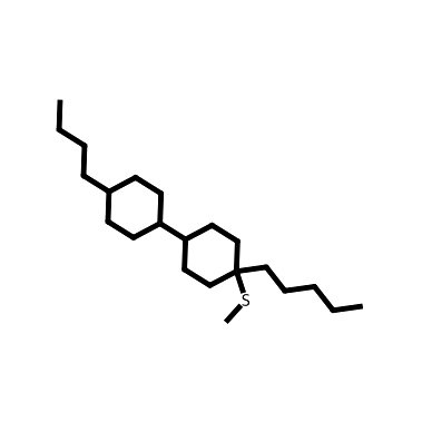 CCCCCC1(SC)CCC(C2CCC(CCCC)CC2)CC1